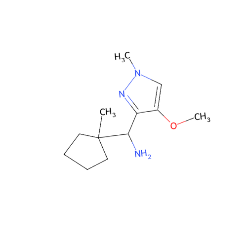 COc1cn(C)nc1C(N)C1(C)CCCC1